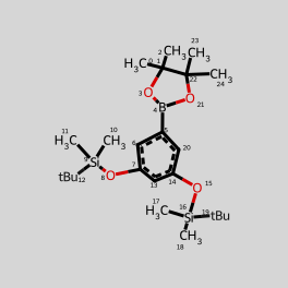 CC1(C)OB(c2cc(O[Si](C)(C)C(C)(C)C)cc(O[Si](C)(C)C(C)(C)C)c2)OC1(C)C